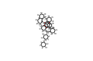 c1ccc(-c2ccc(N(c3ccc4c(c3)C3(c5ccccc5)c5ccccc5-c5cccc6ccc-4c3c56)c3ccccc3-c3ccccc3)cc2)cc1